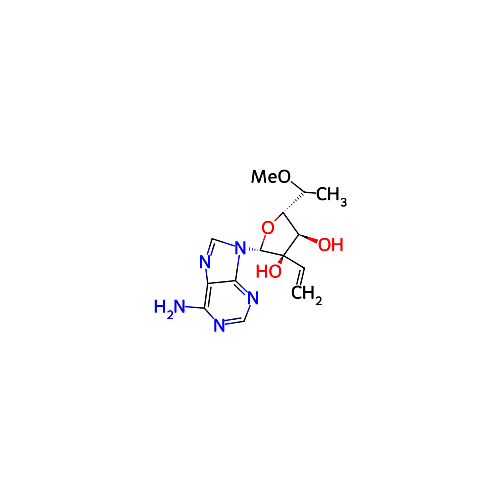 C=C[C@@]1(O)[C@H](O)[C@@H](C(C)OC)O[C@H]1n1cnc2c(N)ncnc21